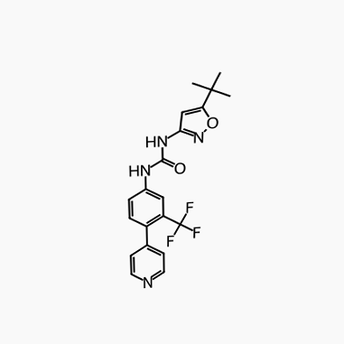 CC(C)(C)c1cc(NC(=O)Nc2ccc(-c3ccncc3)c(C(F)(F)F)c2)no1